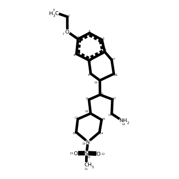 CCOc1ccc2c(c1)CC(C(CCN)CC1CCN(S(C)(=O)=O)CC1)CC2